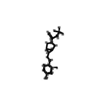 Cc1nc(Br)cnc1OCC1C2CN(C(=O)OC(C)(C)C)CC12